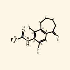 O=C1CCCCc2c1cc(F)c(NC(=O)C(F)(F)F)c2I